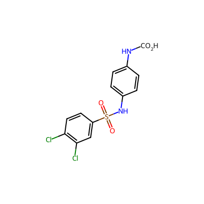 O=C(O)Nc1ccc(NS(=O)(=O)c2ccc(Cl)c(Cl)c2)cc1